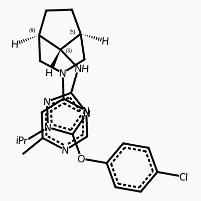 Cc1cc(N2C[C@H]3CC[C@@H](C2)[C@@H]3Nc2nc(Oc3ccc(Cl)cc3)n(C(C)C)n2)ncn1